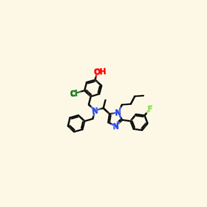 CCCCn1c(C(C)N(Cc2ccccc2)Cc2ccc(O)cc2Cl)cnc1-c1cccc(F)c1